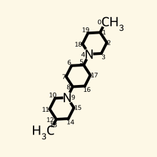 CC1CCN(C2CCC(N3CCC(C)CC3)CC2)CC1